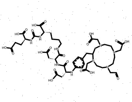 O=CCN1CCN(CC(=O)O)CCN(CC(=O)O)CC(Cc2ccc(N[C@H](CC(=O)O)C(=O)N[C@H](CC(=O)O)C(=O)NCCCC[C@H](NC(=O)N[C@@H](CCC(=O)O)C(=O)O)C(=O)O)cc2)N(CC(=O)O)CC1